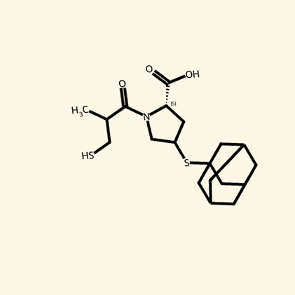 CC(CS)C(=O)N1CC(SC23CC4CC(CC(C4)C2)C3)C[C@H]1C(=O)O